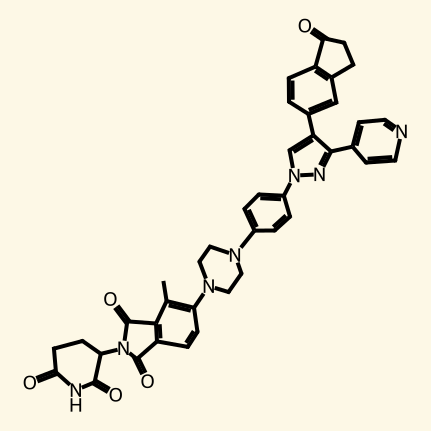 Cc1c(N2CCN(c3ccc(-n4cc(-c5ccc6c(c5)CCC6=O)c(-c5ccncc5)n4)cc3)CC2)ccc2c1C(=O)N(C1CCC(=O)NC1=O)C2=O